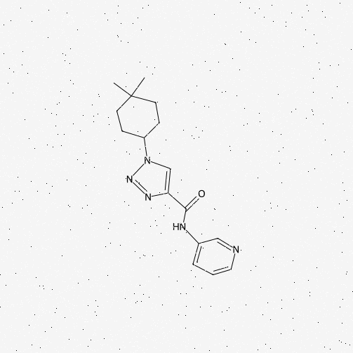 CC1(C)CCC(n2cc(C(=O)Nc3cccnc3)nn2)CC1